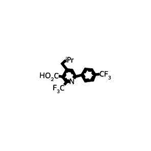 CC(C)Cc1cc(-c2ccc(C(F)(F)F)cc2)nc(C(F)(F)F)c1C(=O)O